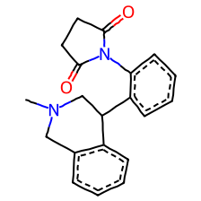 CN1Cc2ccccc2C(c2ccccc2N2C(=O)CCC2=O)C1